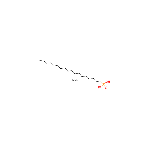 CCCCCCCCCCCCCCCCCCP(=O)(O)O.[NaH]